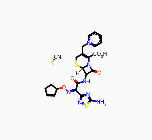 N#C[S-].Nc1nc(/C(=N/OC2C=CCC2)C(=O)NC2C(=O)N3C(C(=O)O)=C(C[n+]4ccccc4)CS[C@H]23)ns1